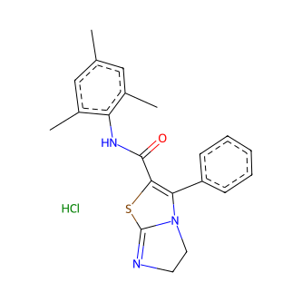 Cc1cc(C)c(NC(=O)C2=C(c3ccccc3)N3CCN=C3S2)c(C)c1.Cl